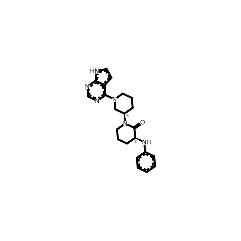 O=C1[C@@H](Nc2ccccc2)CCCN1[C@@H]1CCCN(c2ncnc3[nH]ccc23)C1